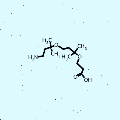 CC(C)(CCN)OCCC(C)(C)OCCC(=O)O